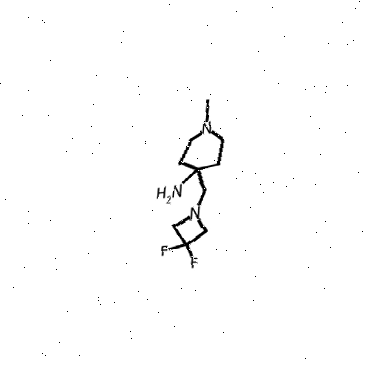 CN1CCC(N)(CN2CC(F)(F)C2)CC1